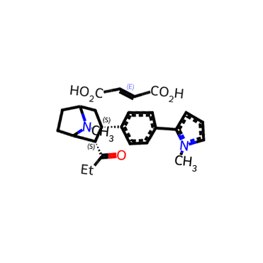 CCC(=O)[C@@H]1C2CCC(C[C@@H]1c1ccc(-c3cccn3C)cc1)N2C.O=C(O)/C=C/C(=O)O